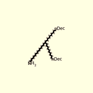 CCCCCCCCCCCCCCCCCCCCC(CCCCCCCCCCCCCCCN)CCCCCCCCCCCCCCCCCCCC